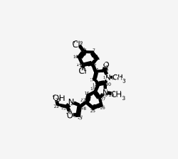 Cn1c(=O)c(-c2ccc(Cl)cc2Cl)cc2c3cc(-c4coc(CO)n4)ccc3n(C)c21